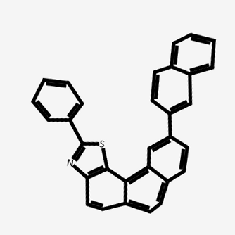 c1ccc(-c2nc3ccc4ccc5ccc(-c6ccc7ccccc7c6)cc5c4c3s2)cc1